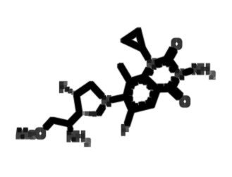 COC[C@H](N)[C@H]1CN(c2c(F)cc3c(=O)n(N)c(=O)n(C4CC4)c3c2C)C[C@H]1F